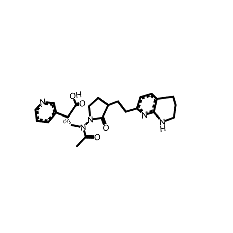 CC(=O)N(C[C@@H](C(=O)O)c1cccnc1)N1CCC(CCc2ccc3c(n2)NCCC3)C1=O